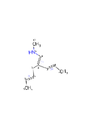 C/C=C/CC(/C=C/C)=C\NC